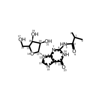 CC(C)C(=O)Nc1nc2c(ncn2[C@@H]2OC(CO)[C@@H](O)[C@H]2O)c(=O)[nH]1